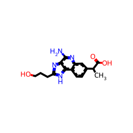 CC(C(=O)O)c1ccc2c(c1)nc(N)c1nc(CCCO)[nH]c12